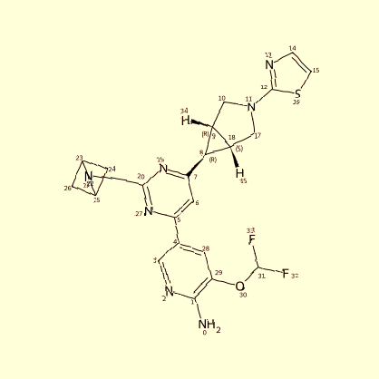 Nc1ncc(-c2cc([C@H]3[C@@H]4CN(c5nccs5)C[C@@H]43)nc(N3CC4CC3C4)n2)cc1OC(F)F